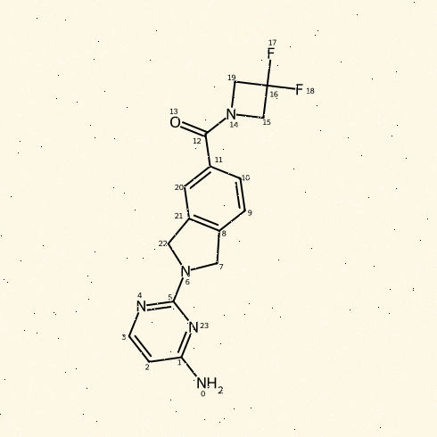 Nc1ccnc(N2Cc3ccc(C(=O)N4CC(F)(F)C4)cc3C2)n1